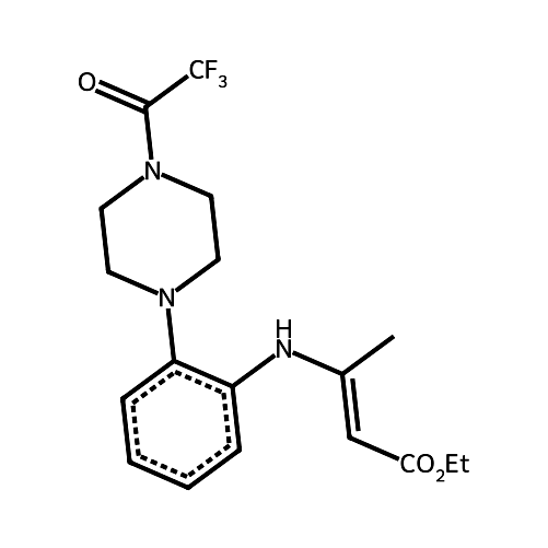 CCOC(=O)C=C(C)Nc1ccccc1N1CCN(C(=O)C(F)(F)F)CC1